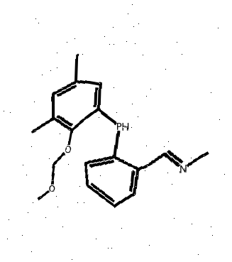 C/N=C/c1ccccc1Pc1cc(C)cc(C)c1OCOC